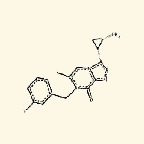 Cc1cn2c([C@@H]3C[C@@H]3P)ncc2c(=O)n1Cc1cccc(F)c1